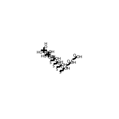 O=C(O)CC=S.O=C(O)CC=S.O=C(O)CC=S.O=C(O)CC=S.O=C(O)CC=S.O=C(O)CC=S.OCC(CO)(CO)CO.OCC(CO)(CO)CO